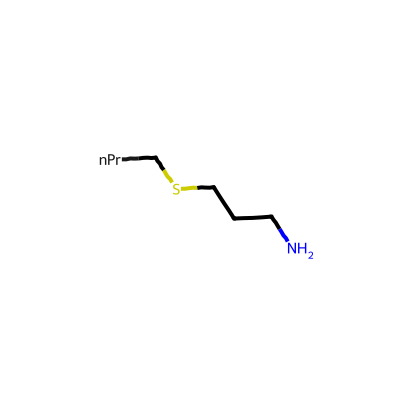 CCCCSCCCN